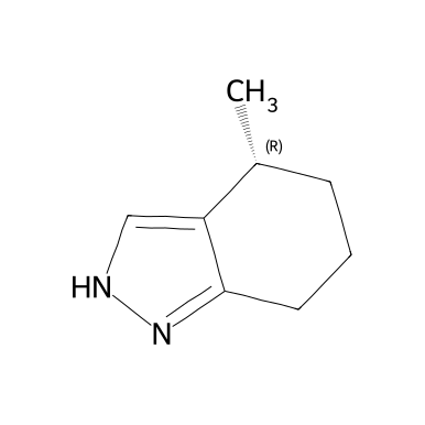 C[C@@H]1CCCc2n[nH]cc21